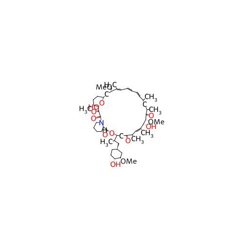 CO[C@H]1CC2CC[C@@H](C)[C@@](O)(O2)C(=O)C(=O)N2CCCC[C@H]2C(=O)OC([C@H](C)C[C@@H]2CC[C@@H](O)[C@H](OC)C2)CC(=O)[C@H](C)/C=C(\C)[C@@H](O)[C@@H](OC)C(=O)[C@H](C)C[C@H](C)/C=C/C=C/C=C/1C